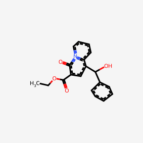 CCOC(=O)c1cc(C(O)c2ccccc2)c2ccccn2c1=O